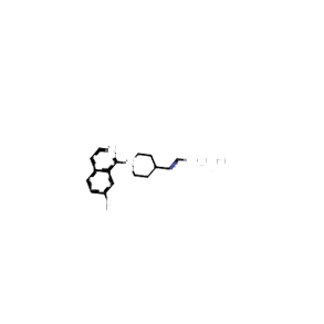 O=C(O)/C=C/C1CCN(c2nccc3ccc(F)cc23)CC1